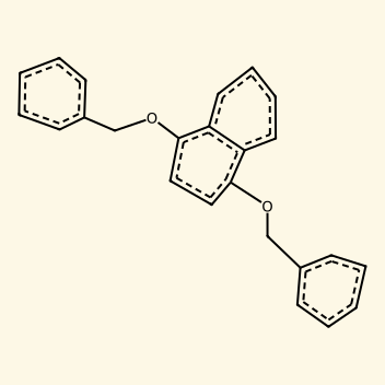 c1ccc(COc2ccc(OCc3ccccc3)c3ccccc23)cc1